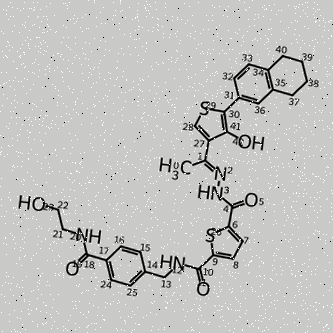 CC(=NNC(=O)c1ccc(C(=O)NCc2ccc(C(=O)NCCO)cc2)s1)c1csc(-c2ccc3c(c2)CCCC3)c1O